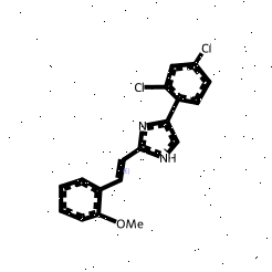 COc1ccccc1/C=C/c1nc(-c2ccc(Cl)cc2Cl)c[nH]1